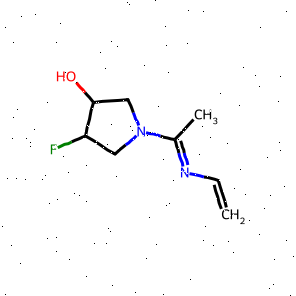 C=C/N=C(\C)N1CC(O)C(F)C1